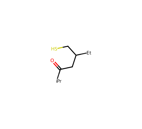 CCC(CS)CC(=O)C(C)C